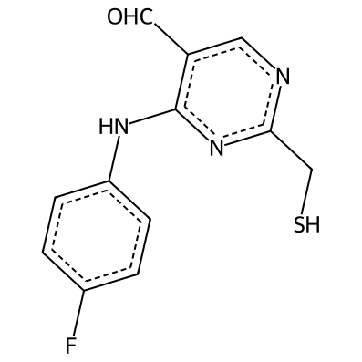 O=Cc1cnc(CS)nc1Nc1ccc(F)cc1